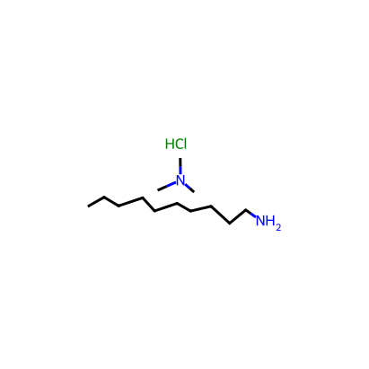 CCCCCCCCCCN.CN(C)C.Cl